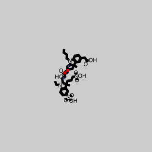 CCCCN1/C(=C/C=C/C=C/C2=[N+](CC)c3ccc(S(=O)(=O)O)cc3C2(C)CCCS(=O)(=O)O)C(C)(CCCC(=O)O)c2cc(CC(=O)O)ccc21